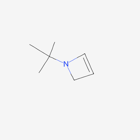 CC(C)(C)N1C=CC1